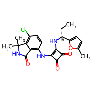 CC[C@@H](Nc1c(Nc2ccc(Cl)c3c2C(=O)NC3(C)C)c(=O)c1=O)c1ccc(C)o1